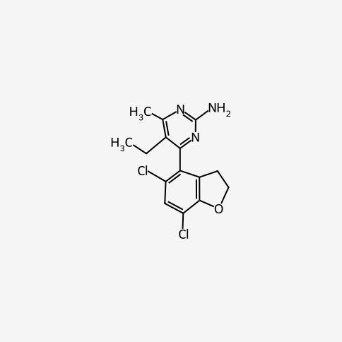 CCc1c(C)nc(N)nc1-c1c(Cl)cc(Cl)c2c1CCO2